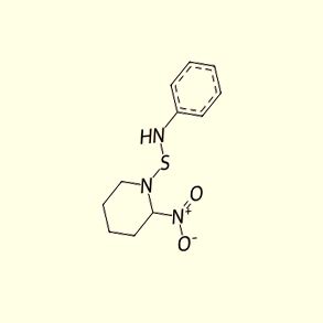 O=[N+]([O-])C1CCCCN1SNc1ccccc1